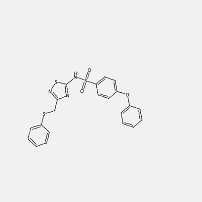 O=S(=O)(Nc1nc(CSc2ccccc2)ns1)c1ccc(Oc2ccccc2)cc1